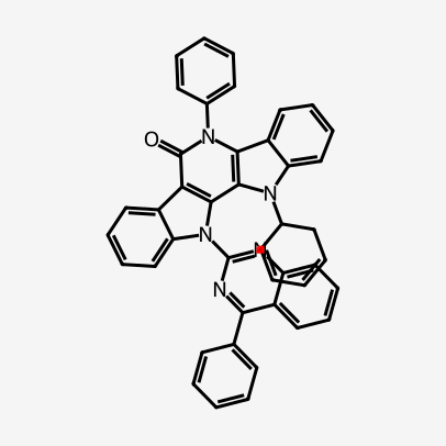 O=c1c2c3ccccc3n(-c3nc(-c4ccccc4)c4ccccc4n3)c2c2c(c3ccccc3n2C2C=CC=CC2)n1-c1ccccc1